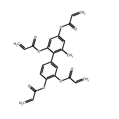 C=CC(=O)Oc1cc(C)c(-c2ccc(OC(=O)C=C)c(OC(=O)C=C)c2)c(OC(=O)C=C)c1